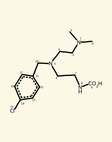 CN(C)CCN(CCNC(=O)O)Cc1ccc(Cl)cc1